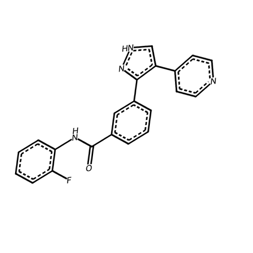 O=C(Nc1ccccc1F)c1cccc(-c2n[nH]cc2-c2ccncc2)c1